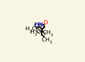 CCCC(C)(C)C1CC(=O)NC1C(C)(C)C